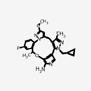 COc1cc2n(n1)-c1ccc(F)cc1C(C)Oc1cc(cnc1N)-c1c(c(C)nn1CC1CC1)C2